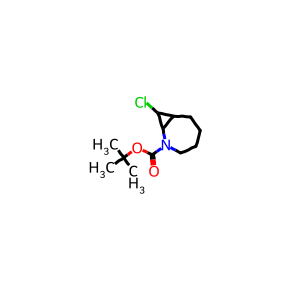 CC(C)(C)OC(=O)N1CCCCC2C(Cl)C21